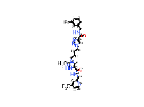 CC(C)c1cccc(CNC(=O)c2cn(CCCCN3C=C(C(=O)NCc4cc(C(F)(F)F)ccn4)NN3C)nn2)c1